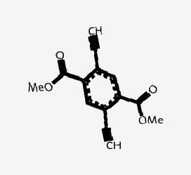 C#Cc1cc(C(=O)OC)c(C#C)cc1C(=O)OC